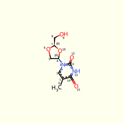 Cc1cn([C@H]2CO[C@@H](CO)O2)c(=O)[nH]c1=O